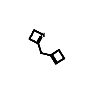 C1=C(CC2=NCC2)CC1